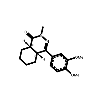 COc1ccc(C2=NN(C)C(=O)[C@H]3CCCC[C@@H]23)cc1OC